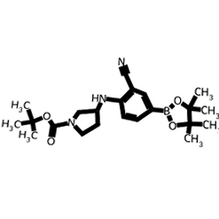 CC(C)(C)OC(=O)N1CCC(Nc2ccc(B3OC(C)(C)C(C)(C)O3)cc2C#N)C1